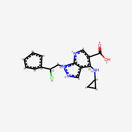 O=C(O)c1cnc2c(cnn2CC(Cl)c2ccccc2)c1NC1CC1